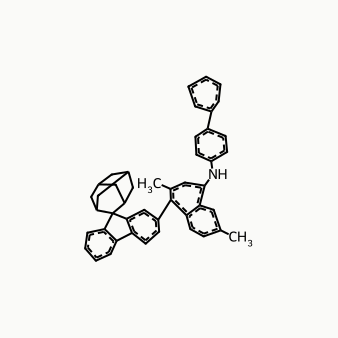 Cc1ccc2c(-c3ccc4c(c3)C3(c5ccccc5-4)C4CC5CC(C4)CC3C5)c(C)cc(Nc3ccc(-c4ccccc4)cc3)c2c1